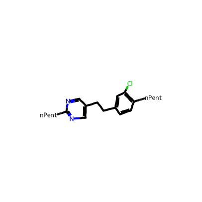 CCCCCc1ncc(CCc2ccc(CCCCC)c(Cl)c2)cn1